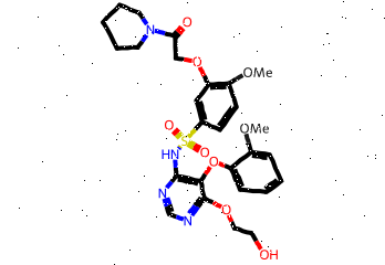 COc1ccc(S(=O)(=O)Nc2ncnc(OCCO)c2Oc2ccccc2OC)cc1OCC(=O)N1CCCCC1